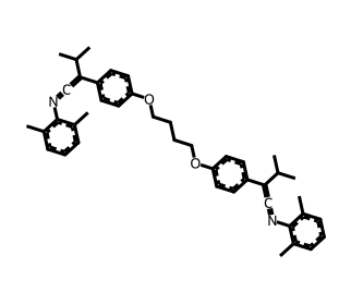 Cc1cccc(C)c1N=C=C(c1ccc(OCCCCOc2ccc(C(=C=Nc3c(C)cccc3C)C(C)C)cc2)cc1)C(C)C